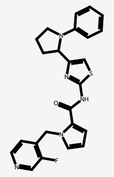 O=C(Nc1nc(C2CCCN2c2ccccc2)cs1)c1cccn1Cc1ccncc1F